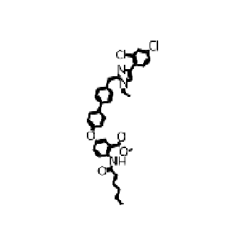 CCCCCC(=O)Nc1ccc(Oc2ccc(-c3ccc(Cc4nc(-c5ccc(Cl)cc5Cl)cn4CC)cc3)cc2)cc1C(=O)OC